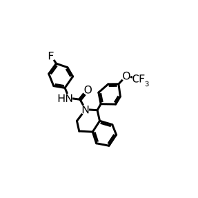 O=C(Nc1ccc(F)cc1)N1CCc2ccccc2C1c1ccc(OC(F)(F)F)cc1